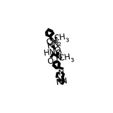 C=N/C(=N\N(C)Cc1ccccc1)C(=O)N[C@@H]1COc2ccc(CN3CCn4ncnc4C3)cc2N(C)C1=O